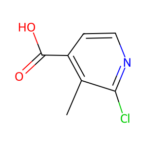 Cc1c(C(=O)O)ccnc1Cl